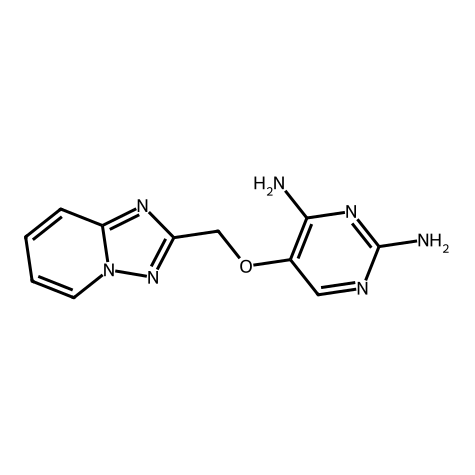 Nc1ncc(OCc2nc3ccccn3n2)c(N)n1